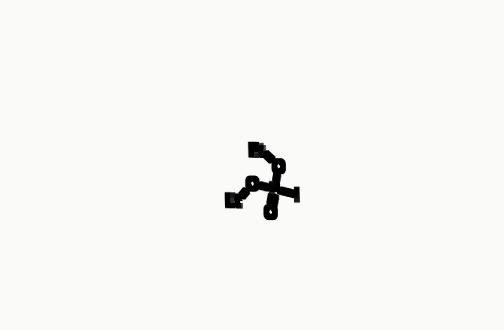 CCOP(=O)(I)OCC